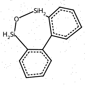 c1ccc2c(c1)[SiH2]O[SiH2]c1ccccc1-2